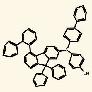 N#Cc1ccc(N(c2ccc(-c3ccccc3)cc2)c2ccc3c(c2)C(c2ccccc2)(c2ccccc2)c2cccc(-c4ccccc4-c4ccccc4)c2-3)cc1